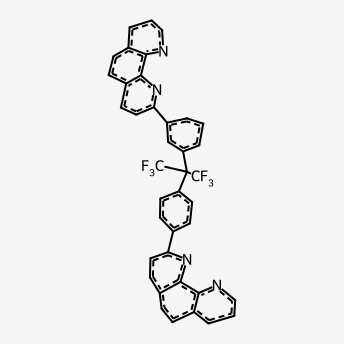 FC(F)(F)C(c1ccc(-c2ccc3ccc4cccnc4c3n2)cc1)(c1cccc(-c2ccc3ccc4cccnc4c3n2)c1)C(F)(F)F